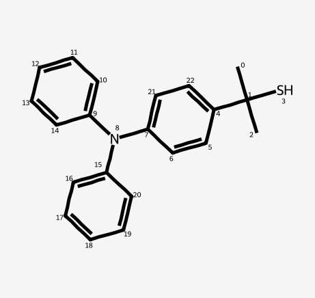 CC(C)(S)c1ccc(N(c2ccccc2)c2ccccc2)cc1